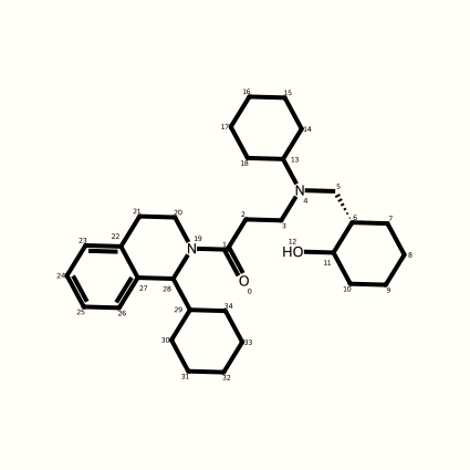 O=C(CCN(C[C@@H]1CCCCC1O)C1CCCCC1)N1CCc2ccccc2C1C1CCCCC1